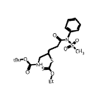 CCOC(=S)SC(CCC(=O)N(c1ccccc1)S(C)(=O)=O)CNC(=O)OC(C)(C)C